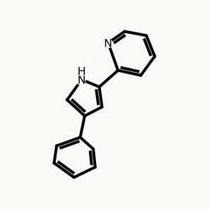 c1ccc(-c2c[nH]c(-c3ccccn3)c2)cc1